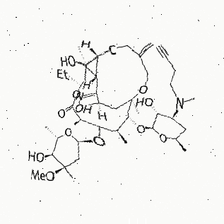 C#CCCN(C)[C@H]1C[C@@H](C)O[C@@H](O[C@@H]2[C@@H](C)C(O[C@H]3C[C@@](C)(OC)[C@@H](O)[C@H](C)O3)[C@@H](C)C(=O)O[C@H](CC)[C@@](C)(O)[C@@H]3CCC(=C)CO[C@]2(C)C[C@@H](C)/C(=N\O)[C@@H]3C)[C@@H]1O